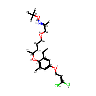 CCc1cc(OCC=C(Cl)Cl)cc(C)c1OC(C)CCCOCC(C)=NOC(C)(C)C